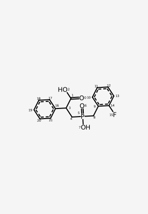 O=C(O)C(CP(=O)(O)Cc1ccccc1F)c1ccccc1